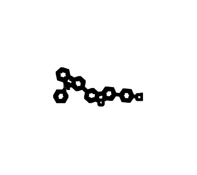 Clc1ccc(-c2ccc3c(c2)oc2ccc(-c4ccc5c6ccccc6n(-c6ccccc6)c5c4)cc23)cc1